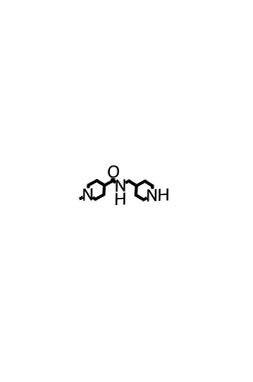 CN1CCC(C(=O)NCC2CCNCC2)CC1